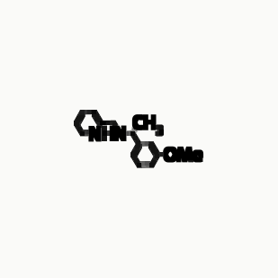 COc1cccc([C@@H](C)NCc2ccccn2)c1